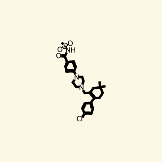 CC1(C)CCC(c2ccc(Cl)cc2)=C(CN2CCN(c3ccc(C(=O)NS(C)(=O)=O)cc3)CC2)C1